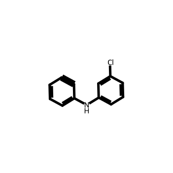 Clc1cccc(Nc2c#cccc2)c1